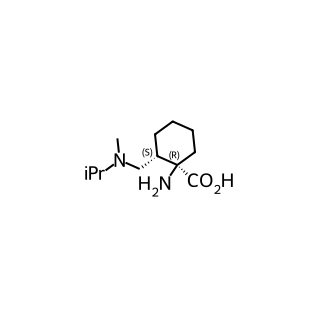 CC(C)N(C)C[C@@H]1CCCC[C@]1(N)C(=O)O